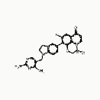 CC[C@H]1COc2c(-c3ccc4c(c3)CCN4Cc3cnc(N)nc3N)c(F)cc3c(=O)ccn1c23